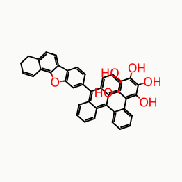 Oc1c(O)c(O)c(-c2ccccc2-c2c3ccccc3c(-c3ccc4c(c3)oc3c5c(ccc34)CCC=C5)c3ccccc23)c(O)c1O